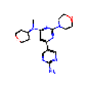 CN(c1cc(-c2cnc(N)nc2)nc(N2CCOCC2)n1)C1CCOCC1